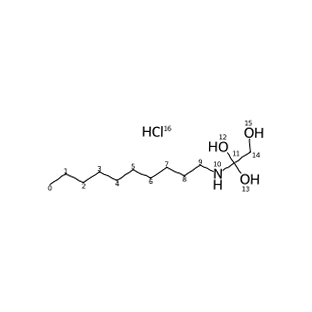 CCCCCCCCCCNC(O)(O)CO.Cl